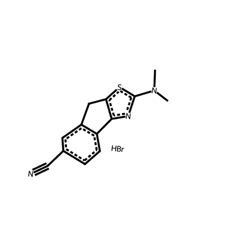 Br.CN(C)c1nc2c(s1)Cc1cc(C#N)ccc1-2